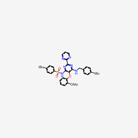 COc1ccccc1Oc1c(NCc2ccc(C(C)(C)C)cc2)nc(-c2ncccn2)nc1NS(=O)(=O)c1ccc(C(C)(C)C)cc1